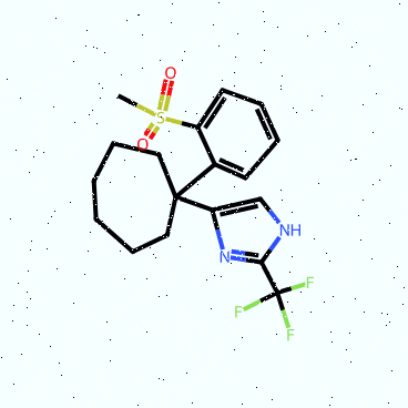 CS(=O)(=O)c1ccccc1C1(c2c[nH]c(C(F)(F)F)n2)CCCCCC1